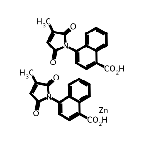 CC1=CC(=O)N(c2ccc(C(=O)O)c3ccccc23)C1=O.CC1=CC(=O)N(c2ccc(C(=O)O)c3ccccc23)C1=O.[Zn]